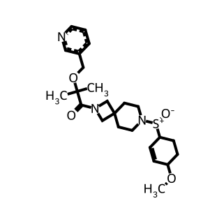 COC1C=CC([S+]([O-])N2CCC3(CC2)CN(C(=O)C(C)(C)OCc2cccnc2)C3)CC1